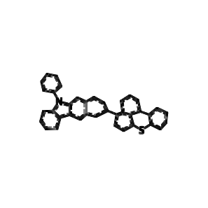 c1ccc(-n2c3ccccc3c3cc4cc(-c5ccc6c7c(cccc57)-c5ccccc5S6)ccc4cc32)cc1